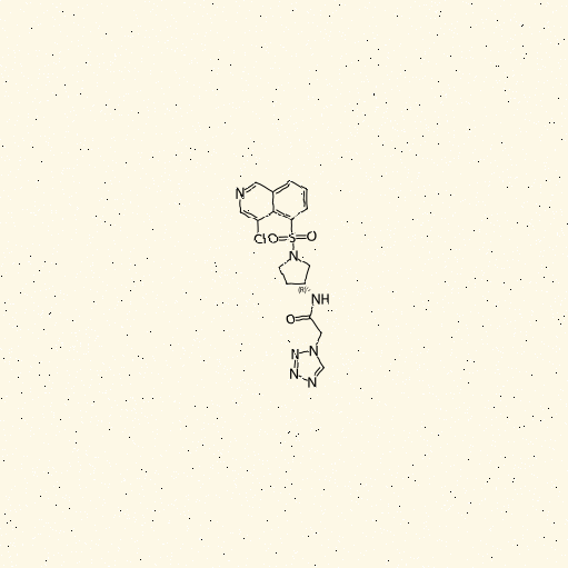 O=C(Cn1cnnn1)N[C@@H]1CCN(S(=O)(=O)c2cccc3cncc(Cl)c23)C1